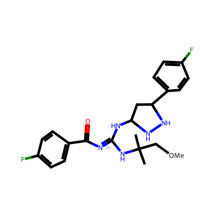 COCC(C)(C)N/C(=N/C(=O)c1ccc(F)cc1)NC1CC(c2ccc(F)cc2)NN1